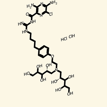 Cl.Cl.N=C(NCCCCc1ccc(OCCN(C[C@@H](O)C(O)C(O)CO)C[C@@H](O)C(O)C(O)CO)cc1)NC(=O)c1nc(Cl)c(N)nc1N